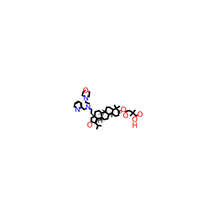 CC(C)C1=C2[C@H]3CCC4[C@@]5(C)CC[C@H](OC(=O)CC(C)(C)C(=O)O)C(C)(C)C5CC[C@@]4(C)[C@]3(C)CC[C@@]2(CCN(CCN2CCOCC2)Cc2ccccn2)CC1=O